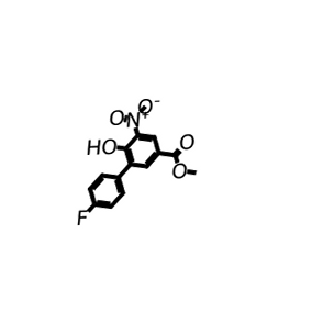 COC(=O)c1cc(-c2ccc(F)cc2)c(O)c([N+](=O)[O-])c1